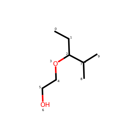 CCC(OCCO)[C](C)C